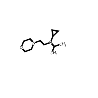 CC(C)N(CCN1CCOCC1)C1CC1